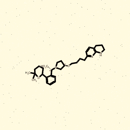 CC1(C)CCCC(c2ccccc2[C@H](C(=O)O)N2CC[C@@H](OCCCCc3ccc4c(n3)NCCC4)C2)O1